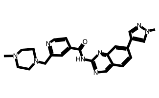 CN1CCN(Cc2cc(C(=O)Nc3ncc4ccc(-c5cnn(C)c5)cc4n3)ccn2)CC1